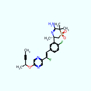 CC#C[C@H](C)Oc1cnc(/C(F)=C/c2ccc(F)c([C@]3(C)CS(=O)(=O)C(C)(C)C(N)=N3)c2)cn1